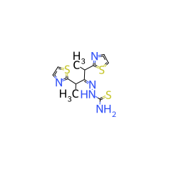 CC(C(=NNC(N)=S)C(C)c1nccs1)c1nccs1